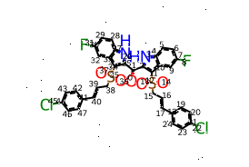 O=C(c1[nH]c2ccc(F)cc2c1S(=O)(=O)CC=Cc1ccc(Cl)cc1)c1[nH]c2ccc(F)cc2c1S(=O)(=O)CC=Cc1ccc(Cl)cc1